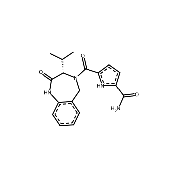 CC(C)[C@H]1C(=O)Nc2ccccc2CN1C(=O)c1ccc(C(N)=O)[nH]1